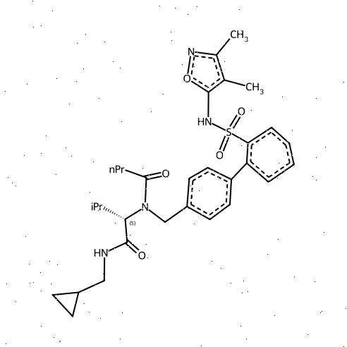 CCCC(=O)N(Cc1ccc(-c2ccccc2S(=O)(=O)Nc2onc(C)c2C)cc1)[C@H](C(=O)NCC1CC1)C(C)C